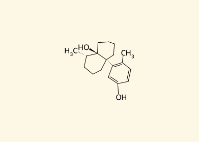 Cc1ccc(O)cc1[C@@]12CCCC[C@@]1(O)[C@@H](C)CCC2